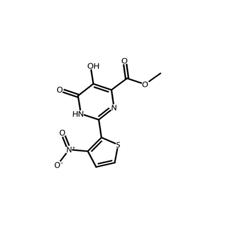 COC(=O)c1nc(-c2sccc2[N+](=O)[O-])[nH]c(=O)c1O